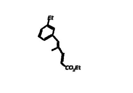 CCOC(=O)/C=C/C(C)=C/c1cccc(CC)c1